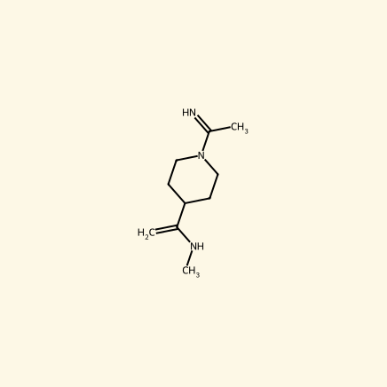 C=C(NC)C1CCN(C(C)=N)CC1